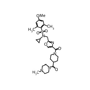 COc1cc(C)c(S(=O)(=O)N(Cc2nc(C(=O)N3CCC(C(=O)N4CCN(C)CC4)CC3)co2)C2CC2)c(C)c1